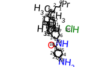 CC(C)CCC[C@@H](C)[C@H]1CC[C@H]2[C@@H]3CCC4CC(NC(=O)c5ccc(N)cc5)CC[C@]4(C)[C@H]3CC[C@]12C.Cl